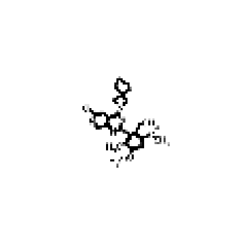 CCc1c(OC)cc(OC)c(C)c1-c1nc(N2CC3(CCCC3)C2)c2cc(Cl)ncc2n1